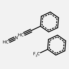 C#Cc1ccccc1.C#N.FC(F)(F)c1ccccc1